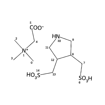 C[N+](C)(C)CC(=O)[O-].O=S(=O)(O)CC1CNCC1CS(=O)(=O)O